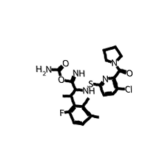 Cc1ccc(F)c(C(C)C(NSc2ccc(Cl)c(C(=O)N3CCCC3)n2)C(=N)OC(N)=O)c1C